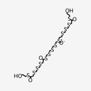 O=C(CSCSCSCC[S+]([O-])CSCSCSCSC(=O)CSCSCSCC(=O)SCCO)SCCO